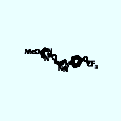 COc1cnc(OCc2cn(-c3ccc(OC(F)(F)F)cc3)nn2)nc1